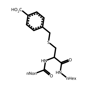 CCCCCCCCCC(=O)NC(CSCc1ccc(C(=O)O)cc1)C(=O)NCCCCCC